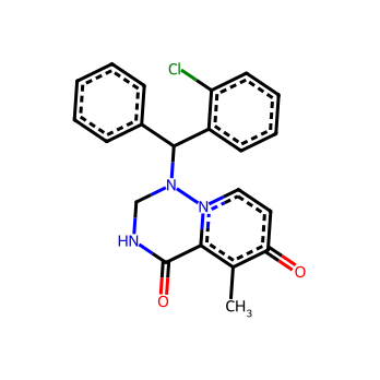 Cc1c2n(ccc1=O)N(C(c1ccccc1)c1ccccc1Cl)CNC2=O